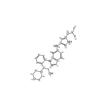 OCC(c1ccccc1-n1ncc2ncc(Nc3cc(OC(F)F)[nH]n3)nc21)C1CCOCC1